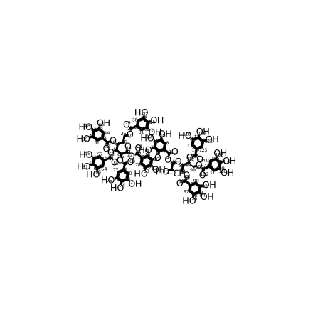 CC(O)[C@H](OC(=O)c1cc(O)c(O)c(O)c1Oc1cc(C(=O)O[C@@H]2OC(COC(=O)c3cc(O)c(O)c(O)c3)[C@@H](OC(=O)c3cc(O)c(O)c(O)c3)C(OC(=O)c3cc(O)c(O)c(O)c3)C2OC(=O)c2cc(O)c(O)c(O)c2)cc(O)c1O)OC(COC(=O)c1cc(O)c(O)c(O)c1)[C@H](COC(=O)c1cc(O)c(O)c(O)c1)OC(=O)c1cc(O)c(O)c(O)c1